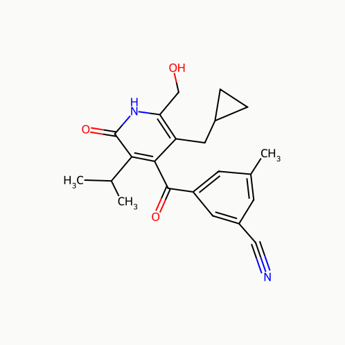 Cc1cc(C#N)cc(C(=O)c2c(CC3CC3)c(CO)[nH]c(=O)c2C(C)C)c1